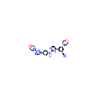 N#Cc1cc(-c2ccnc(Nc3ccc(-n4cnc(N5CCOCC5)n4)cc3)n2)cc(N2CCOCC2)c1